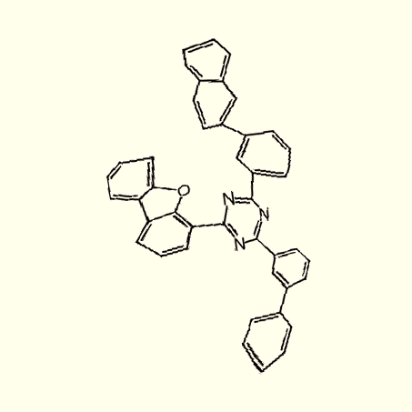 c1ccc(-c2cccc(-c3nc(-c4cccc(-c5ccc6ccccc6c5)c4)nc(-c4cccc5c4oc4ccccc45)n3)c2)cc1